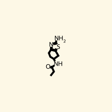 CCC(=O)NC1CCc2nc(N)sc2C1